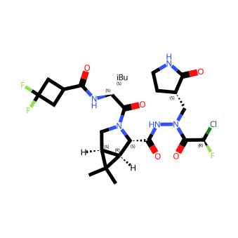 CC[C@H](C)[C@H](NC(=O)C1CC(F)(F)C1)C(=O)N1C[C@H]2[C@@H]([C@H]1C(=O)NN(C[C@@H]1CCNC1=O)C(=O)[C@H](F)Cl)C2(C)C